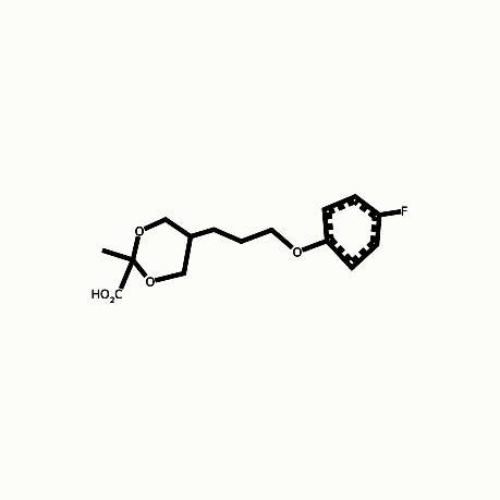 CC1(C(=O)O)OCC(CCCOc2ccc(F)cc2)CO1